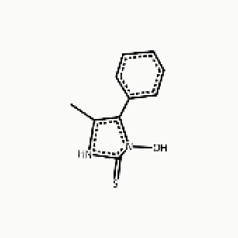 Cc1[nH]c(=S)n(O)c1-c1ccccc1